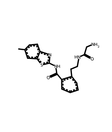 Cc1ccc2nc(NC(=O)c3ccccc3CCNC(=O)CN)sc2c1